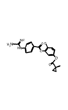 CC1(C(=O)Oc2ccc(Cl)c(OC(=O)c3ccc(NC(=N)N)cc3)c2)CC1